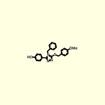 COc1ccc(CSc2nnc(-c3ccc(O)cc3)n2Cc2ccccc2)cc1